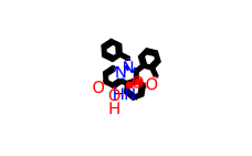 CNC(=O)c1c(O)c(=O)ccn1N(Cc1ccccc1)C1c2ccccc2COc2ccccc21